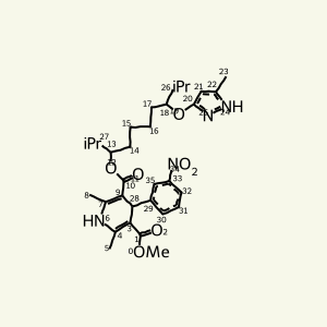 COC(=O)C1=C(C)NC(C)=C(C(=O)OC(CCCCC(Oc2cc(C)[nH]n2)C(C)C)C(C)C)C1c1cccc([N+](=O)[O-])c1